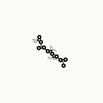 CC1(C)c2ccccc2-c2ccc(-n3c4ccccc4c4cc(-c5ccc6c(c5)C(C)(C)c5cc7c(cc5-6)C(C)(C)c5cc(-c6ccc8c(c6)c6ccccc6n8-c6ccccc6)ccc5-7)ccc43)cc21